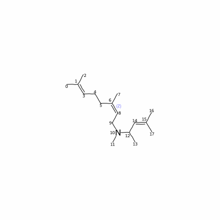 CC(C)=CCC/C(C)=C\CN(C)C(C)C=C(C)C